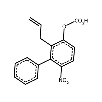 C=CCc1c(OC(=O)O)ccc([N+](=O)[O-])c1-c1ccccc1